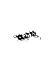 Cl.Cn1nnc(C[C@H]2CN[C@@H](Cc3ccc(Cl)cc3)CO2)n1